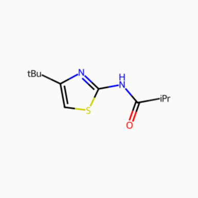 CC(C)C(=O)Nc1nc(C(C)(C)C)cs1